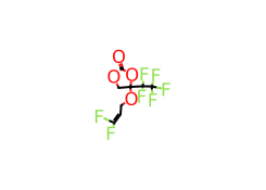 O=C1OCC(OCC=C(F)F)(C(F)(F)C(F)(F)F)O1